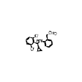 O=CCc1ccccc1NC(c1c(Cl)cccc1Cl)C1CC1